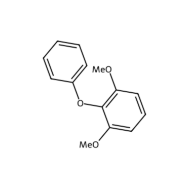 COc1cccc(OC)c1Oc1ccccc1